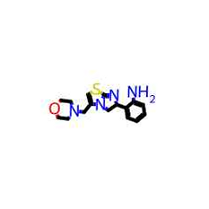 Nc1ccccc1C1CN2C(CN3CCOCC3)=CSC2=N1